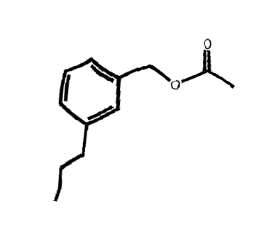 CCCc1cccc(COC(C)=O)c1